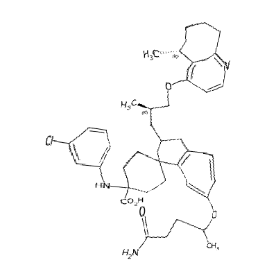 CC(CCC(N)=O)Oc1ccc2c(c1)C1(CCC(Nc3cccc(Cl)c3)(C(=O)O)CC1)C(C[C@@H](C)COc1ccnc3c1[C@H](C)CCC3)C2